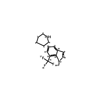 C1CCNCC1.Cn1ncc2cccc(C(F)(F)F)c21